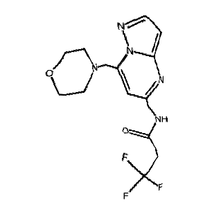 O=C(CC(F)(F)F)Nc1cc(N2CCOCC2)n2nccc2n1